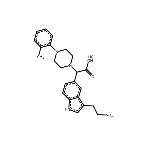 Cc1ccccc1N1CCN(C(C(=O)O)c2ccc3[nH]cc(CCN)c3c2)CC1.Cl